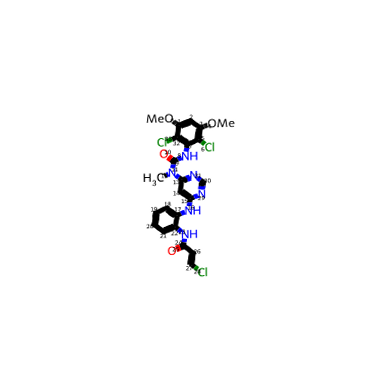 COc1cc(OC)c(Cl)c(NC(=O)N(C)c2cc(Nc3ccccc3NC(=O)C=CCl)ncn2)c1Cl